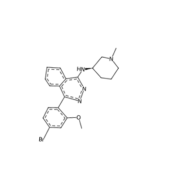 COc1cc(Br)ccc1-c1nnc(N[C@@H]2CCCN(C)C2)c2ccccc12